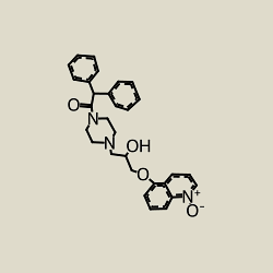 O=C(C(c1ccccc1)c1ccccc1)N1CCN(CC(O)COc2cccc3c2ccc[n+]3[O-])CC1